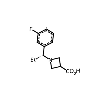 CC[C@H](c1cc[c]c(F)c1)N1CC(C(=O)O)C1